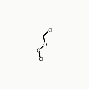 ClCOOCl